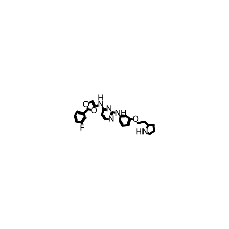 Fc1cccc(C2OC=C(Nc3ccnc(Nc4cccc(OCCC5CCCN5)c4)n3)O2)c1